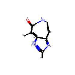 Cc1nc2cc[nH]c(=O)c(C)c-2n1